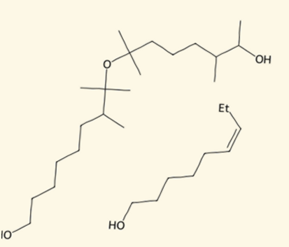 CC(O)C(C)CCCC(C)(C)OC(C)(C)C(C)CCCCCCO.CC/C=C\CCCCCO